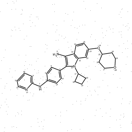 Nc1c(-c2ccc(Nc3ccccn3)cc2)n(C2CCC2)c2cc(OC3CCOCC3)ccc12